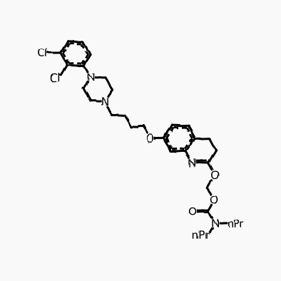 CCCN(CCC)C(=O)OCOC1=Nc2cc(OCCCCN3CCN(c4cccc(Cl)c4Cl)CC3)ccc2CC1